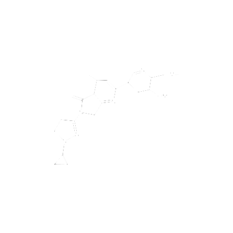 COC1CC(C2=CC(C)C3C(=O)N(C4=NN(C5CC5)CC4)CC3=N2)C=NC1OC